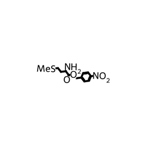 CSCCC(N)C(=O)OCc1ccc([N+](=O)[O-])cc1